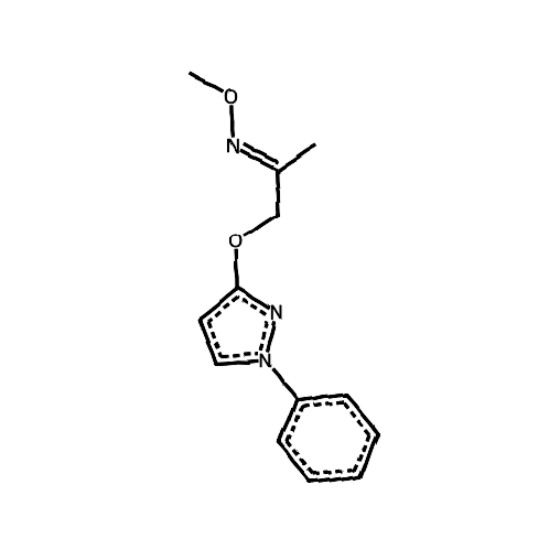 CON=C(C)COc1ccn(-c2ccccc2)n1